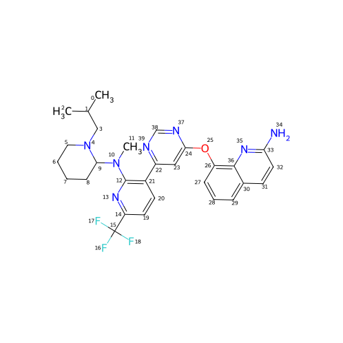 CC(C)CN1CCCCC1N(C)c1nc(C(F)(F)F)ccc1-c1cc(Oc2cccc3ccc(N)nc23)ncn1